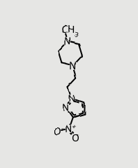 CN1CCN(CCn2ccc([N+](=O)[O-])n2)CC1